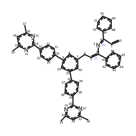 C=C/C(=N\C(=C/Cc1cc(-c2ccc(-c3nc(C)cc(C)n3)cc2)cc(-c2ccc(-c3nc(C)cc(C)n3)cc2)c1)c1ccccc1)c1ccccc1